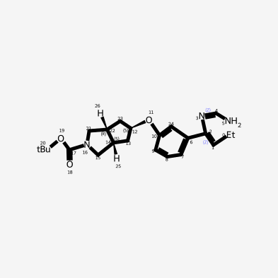 CC/C=C(\N=C/N)c1cccc(O[C@H]2C[C@@H]3CN(C(=O)OC(C)(C)C)C[C@@H]3C2)c1